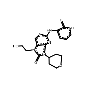 O=c1[nH]cccc1Nc1ncc2c(n1)n(C1CCOCC1)c(=O)n2CCO